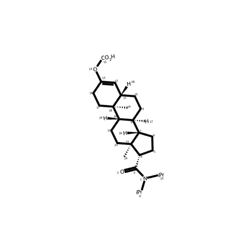 CC(C)N(C(=O)[C@H]1CC[C@H]2[C@@H]3CC[C@H]4C=C(OC(=O)O)CC[C@]4(C)[C@H]3CC[C@]12C)C(C)C